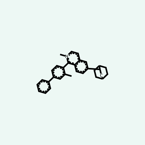 Cc1cc(-c2ccccc2)ccc1-c1c2ccc(C3CC4CCC3CC4)cc2cc[n+]1C